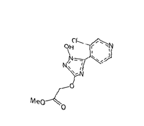 COC(=O)COc1nc(-c2ccncc2Cl)n(O)n1